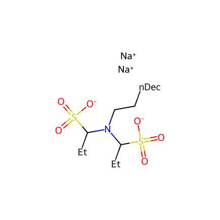 CCCCCCCCCCCCN(C(CC)S(=O)(=O)[O-])C(CC)S(=O)(=O)[O-].[Na+].[Na+]